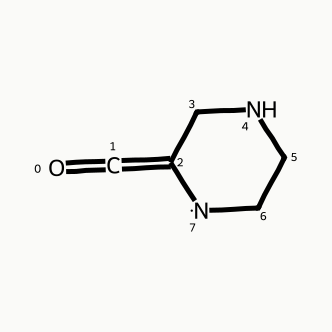 O=C=C1CNCC[N]1